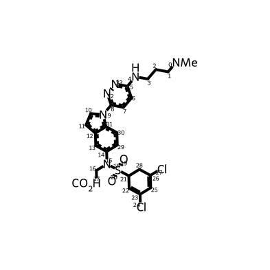 CNCCCNc1ccc(-n2ccc3cc(N(CC(=O)O)S(=O)(=O)C4C=C(Cl)C=C(Cl)C4)ccc32)nn1